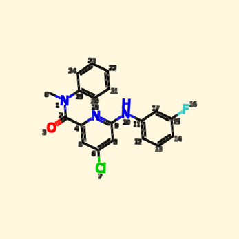 CN(C(=O)c1cc(Cl)cc(Nc2cccc(F)c2)n1)c1ccccc1